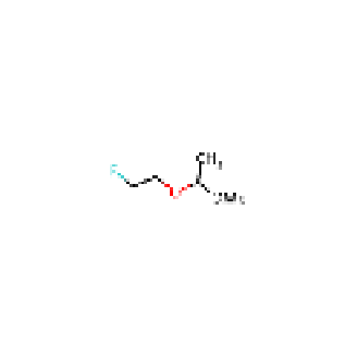 COC(C)OCCF